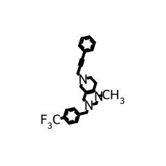 CN1CN(Cc2ccc(C(F)(F)F)cc2)CC2=C1CCN(CC#Cc1ccccc1)C2